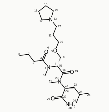 CCCC(=O)N(C)[C@H](COCCCN1CCCC1)C(=O)N(C)[C@@H](CC(C)C)C(N)=O